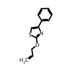 C=CCOc1nc(-c2ccccc2)cs1